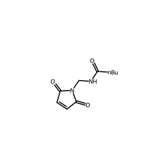 CCCCC(=O)NCN1C(=O)C=CC1=O